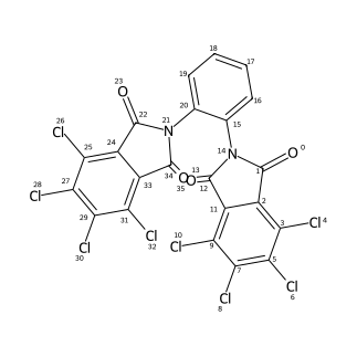 O=C1c2c(Cl)c(Cl)c(Cl)c(Cl)c2C(=O)N1c1ccccc1N1C(=O)c2c(Cl)c(Cl)c(Cl)c(Cl)c2C1=O